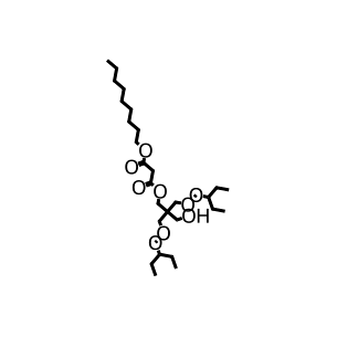 CCCCCCCCCOC(=O)CC(=O)OCC(CO)(COOC(CC)CC)COOC(CC)CC